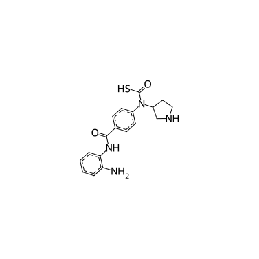 Nc1ccccc1NC(=O)c1ccc(N(C(=O)S)C2CCNC2)cc1